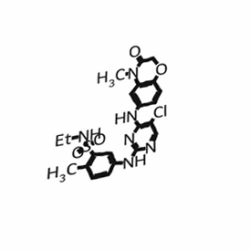 CCNS(=O)(=O)c1cc(Nc2ncc(Cl)c(Nc3ccc4c(c3)N(C)C(=O)CO4)n2)ccc1C